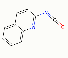 O=C=Nc1ccc2ccccc2n1